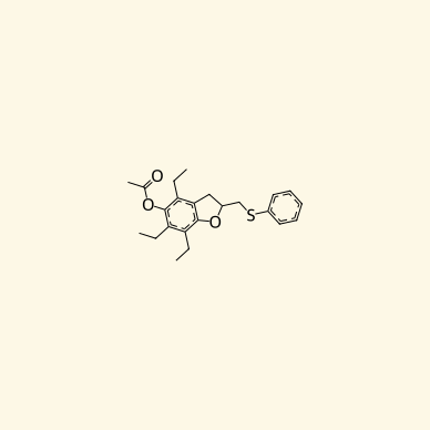 CCc1c(CC)c2c(c(CC)c1OC(C)=O)CC(CSc1ccccc1)O2